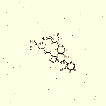 Cc1nn(COCC[Si](C)(C)C)c2c1N=C(c1c(F)cccc1F)Nc1cnc(N3CCO[C@H](C)C3)cc1-2